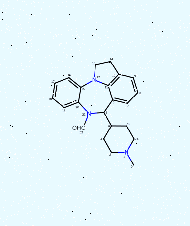 CN1CCC(C2c3cccc4c3N(CC4)c3ccccc3N2C=O)CC1